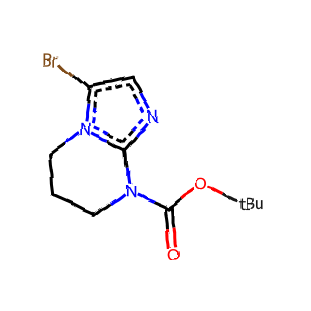 CC(C)(C)OC(=O)N1CCCn2c(Br)cnc21